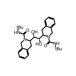 CC(C)(C)NC(=O)N1Cc2ccccc2CC1[C@@H](O)[C@H](O)C1Cc2ccccc2CN1C(=O)NC(C)(C)C